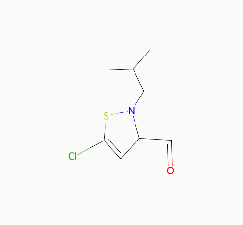 CC(C)CN1SC(Cl)=CC1C=O